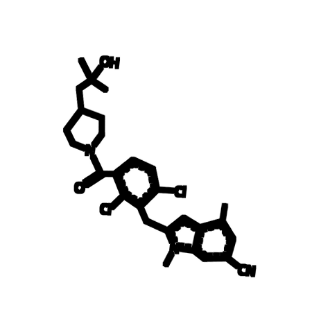 Cc1cc(C#N)cc2c1cc(Cc1c(Cl)ccc(C(=O)N3CCC(CC(C)(C)O)CC3)c1Cl)n2C